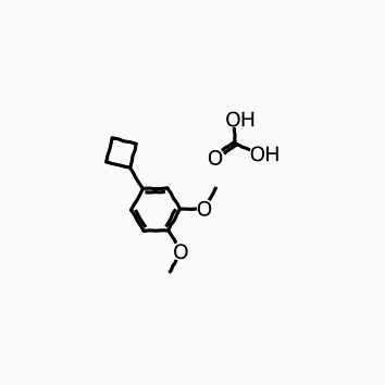 COc1ccc(C2CCC2)cc1OC.O=C(O)O